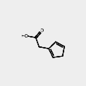 O=C(O)CC1=CCC=C1